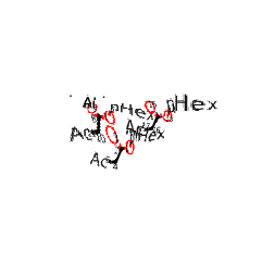 CCCCCCOC(=O)CC(C)=O.CCCCCCOC(=O)CC(C)=O.CCCCCCOC(=O)CC(C)=O.[Al]